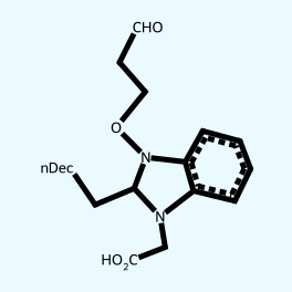 CCCCCCCCCCCC1N(CC(=O)O)c2ccccc2N1OCCC=O